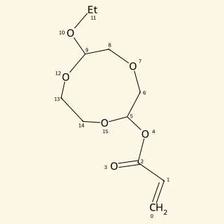 C=CC(=O)OC1COCC(OCC)OCCO1